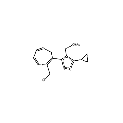 COCc1c(C2=C(CCl)C=CC=CC2)noc1C1CC1